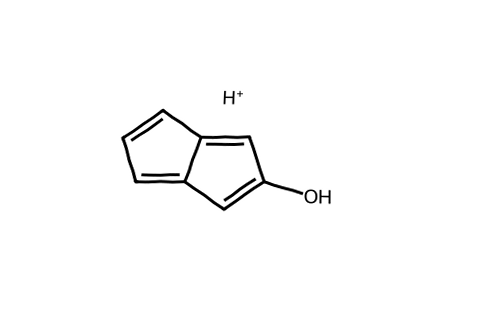 OC1=CC2=CC=CC2=C1.[H+]